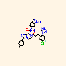 Cc1ccc(-c2nnc3n2CCN(C(=O)/C=C/c2cc(Cl)c(F)cc2-n2cnnn2)C3C(=O)Nc2ccc3cn[nH]c3c2)cc1